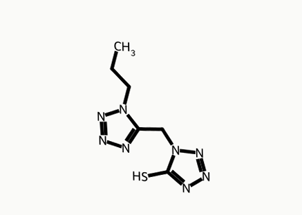 CCCn1nnnc1Cn1nnnc1S